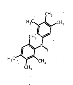 Cc1cc(N(I)c2c(C)cc(C)c(C)c2C)cc(C)c1C